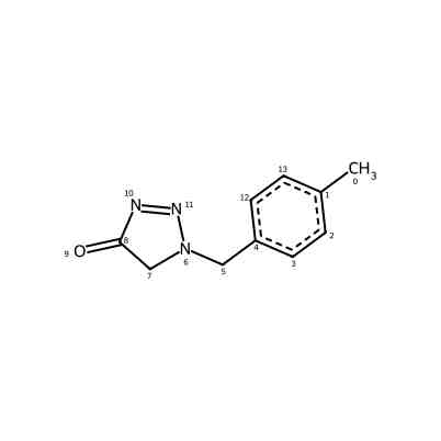 Cc1ccc(CN2CC(=O)N=N2)cc1